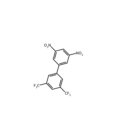 O=[N+]([O-])c1cc(-c2cc(C(F)(F)F)cc(C(F)(F)F)c2)cc([N+](=O)[O-])c1